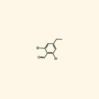 CCc1cc(Br)c(C=O)c(Br)c1